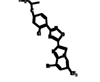 CC(Cc1ccc(-c2noc(-c3cn4cc(C(F)(F)F)cc(Br)c4n3)n2)c(Cl)c1)C(=O)O